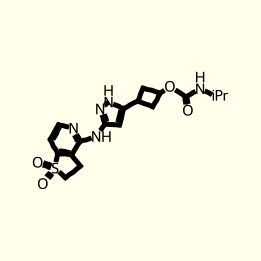 CC(C)NC(=O)OC1CC(c2cc(Nc3nccc4c3CCS4(=O)=O)n[nH]2)C1